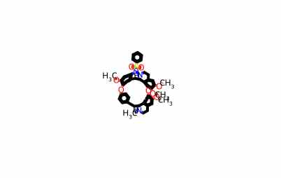 COc1cc2c3cc1Oc1ccc(cc1)C[C@@H]1c4cc(c(OC)cc4CCN1C)Oc1c(OC)c(OC)cc4c1[C@H](C3)N(CC4)N2S(=O)(=O)c1ccccc1